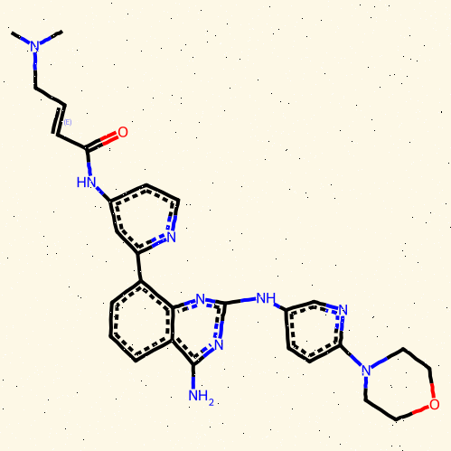 CN(C)C/C=C/C(=O)Nc1ccnc(-c2cccc3c(N)nc(Nc4ccc(N5CCOCC5)nc4)nc23)c1